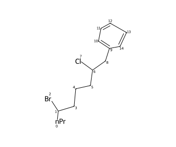 CCCC(Br)CCCC(Cl)Cc1ccccc1